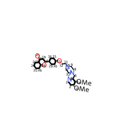 COc1ccnc(CN2CCN(CCOc3ccc(-c4cc(=O)c5ccccc5o4)cc3)CC2)c1OC